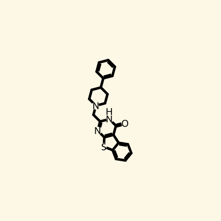 O=c1[nH]c(CN2CCC(c3ccccc3)CC2)nc2sc3ccccc3c12